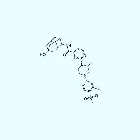 CC1CN(c2ccc(S(C)(=O)=O)c(F)c2)CCN1c1nccc(C(=O)NC2C3CC4CC2CC(O)(C4)C3)n1